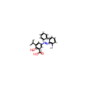 CC(C)c1cc(N=Nc2c(I)cccc2-c2ccccc2)cc(C(=O)O)c1O